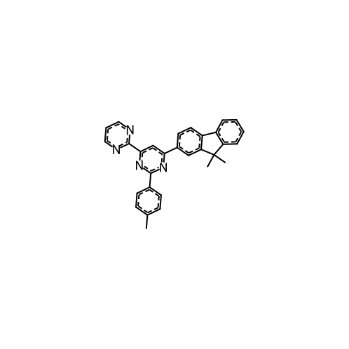 Cc1ccc(-c2nc(-c3ccc4c(c3)C(C)(C)c3ccccc3-4)cc(-c3ncccn3)n2)cc1